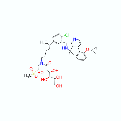 CC(CCCCN(CCS(C)(=O)=O)C(=O)[C@@H](O)[C@@H](O)[C@H](O)[C@@H](O)CO)c1ccc(Cl)c(CNC2(c3cnccc3-c3ccccc3OC3CC3)CC2)c1